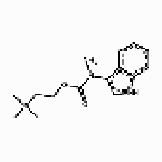 C[Si](C)(C)CCOC(=O)N(N)c1c[nH]c2ccccc12